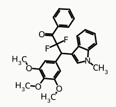 COc1cc(C(c2cn(C)c3ccccc23)C(F)(F)C(=O)c2ccccc2)cc(OC)c1OC